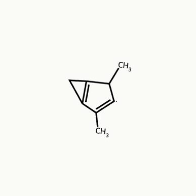 CC1=[C]C(C)C2=C1C2